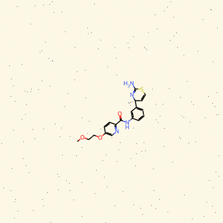 COCCOc1ccc(C(=O)Nc2cccc([C@]3(C)C=CSC(N)=N3)c2)nc1